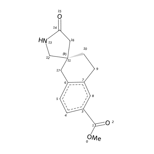 COC(=O)c1ccc2c(c1)CC[C@@]1(CNC(=O)C1)C2